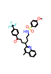 COc1ccc(S(=O)(=O)NCCCC(CCC(=O)c2ccc(C(F)(F)F)cc2)c2cc(C)c3ccccc3n2)cc1